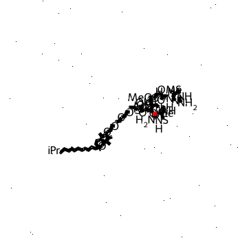 COC(COP(OC)OC(CN1CNc2c1nc(N)[nH]c2=S)C(COP(=O)(O)O[C@H](CO)COCCOCCOCCOc1c(C)c(C)c2c(c1C)CC[C@@](C)(CCCCCCCCCCCC(C)C)O2)OC)C(O)CNc1nc(N)[nH]c(=S)c1N